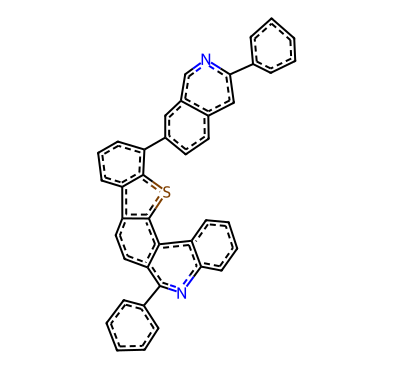 c1ccc(-c2cc3ccc(-c4cccc5c4sc4c5ccc5c(-c6ccccc6)nc6ccccc6c54)cc3cn2)cc1